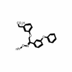 CCCO/N=C(\COc1cccc(CC(=O)O)c1)c1cccc(Oc2ccccc2)c1